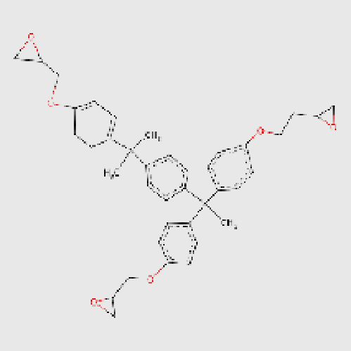 CC(C)(C1=CC=C(OCC2CO2)CC1)c1ccc(C(C)(c2ccc(OCCC3CO3)cc2)c2ccc(OCC3CO3)cc2)cc1